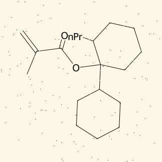 C=C(C)C(=O)OC1(C2CCCCC2)CCCCC1CCC